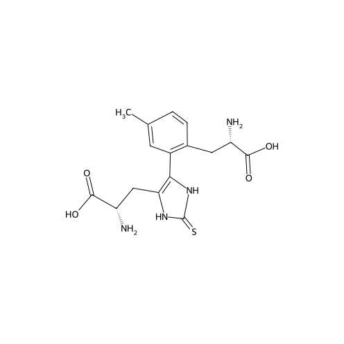 Cc1ccc(C[C@H](N)C(=O)O)c(-c2[nH]c(=S)[nH]c2C[C@H](N)C(=O)O)c1